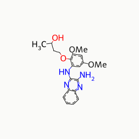 COc1cc(Nc2nc3ccccc3nc2N)c(OCCC(C)O)c(OC)c1